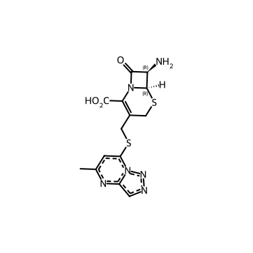 Cc1cc(SCC2=C(C(=O)O)N3C(=O)[C@@H](N)[C@H]3SC2)n2nncc2n1